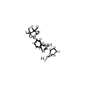 CC1(C)OB(c2ccc3nc([C@@H]4CCCN4P)[nH]c3c2)OC1(C)C